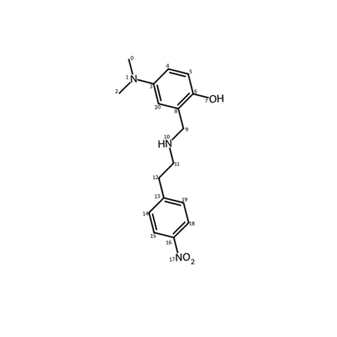 CN(C)c1ccc(O)c(CNCCc2ccc([N+](=O)[O-])cc2)c1